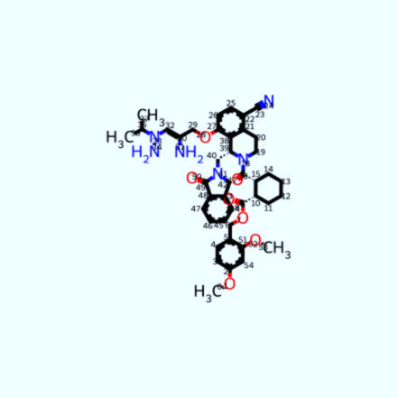 COc1ccc(COC(=O)[C@H]2CCCC[C@H]2C(=O)N2CCc3c(C#N)ccc(OC/C(N)=C/N(N)C(C)C)c3[C@H]2CN2Cc3ccccc3C2=O)c(OC)c1